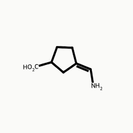 NC=C1CCC(C(=O)O)C1